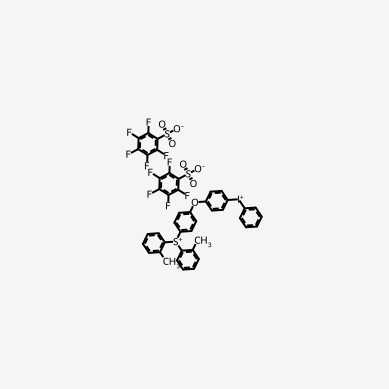 Cc1ccccc1[S+](c1ccc(Oc2ccc([I+]c3ccccc3)cc2)cc1)c1ccccc1C.O=S(=O)([O-])c1c(F)c(F)c(F)c(F)c1F.O=S(=O)([O-])c1c(F)c(F)c(F)c(F)c1F